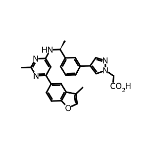 Cc1nc(N[C@@H](C)c2cccc(-c3cnn(CC(=O)O)c3)c2)cc(-c2ccc3occ(C)c3c2)n1